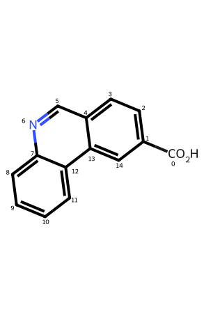 O=C(O)c1ccc2cnc3ccccc3c2c1